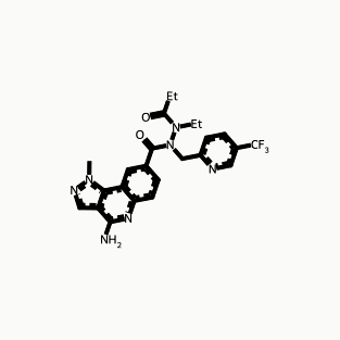 CCC(=O)N(CC)N(Cc1ccc(C(F)(F)F)cn1)C(=O)c1ccc2nc(N)c3cnn(C)c3c2c1